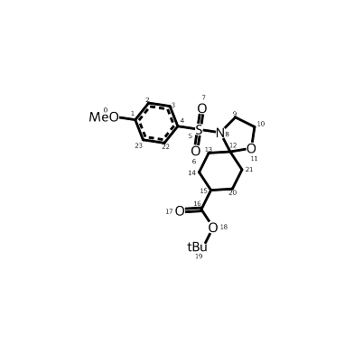 COc1ccc(S(=O)(=O)N2CCOC23CCC(C(=O)OC(C)(C)C)CC3)cc1